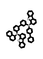 c1ccc(-c2ccc(N(c3cccc(-c4cccc(N(c5cccc6ccccc56)c5cccc6c5oc5ccccc56)c4)c3)c3cccc4c3oc3ccccc34)cc2)cc1